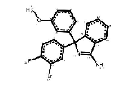 COc1cccc(C2(c3ccc(F)c(Br)c3)N=C(N)c3ccccc32)c1